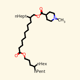 CCCCCCCC(CCCCCCCCC(=O)OCCCC(CCCCC)CCCCCC)COC(=O)C1CCN(C)CC1